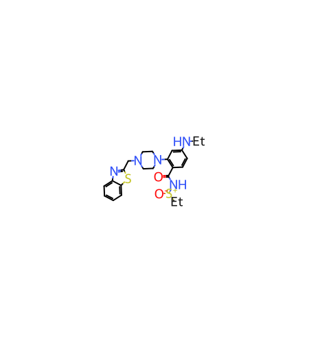 CCNc1ccc(C(=O)N[S+]([O-])CC)c(N2CCN(Cc3nc4ccccc4s3)CC2)c1